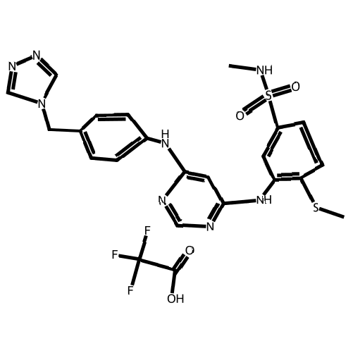 CNS(=O)(=O)c1ccc(SC)c(Nc2cc(Nc3ccc(Cn4cnnc4)cc3)ncn2)c1.O=C(O)C(F)(F)F